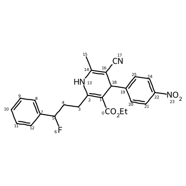 CCOC(=O)C1=C(CCC(F)c2ccccc2)NC(C)=C(C#N)C1c1ccc([N+](=O)[O-])cc1